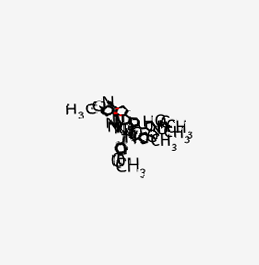 COc1ccc(CN(Cc2ccc(OC)cc2)S(=O)(=O)c2c(CC3CCN(C(=O)OC(C)(C)C)CC3)ccc(C3=CCC(C#N)CC3)c2-c2nnnn2Cc2ccc(OC)cc2)cc1